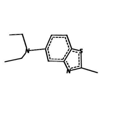 CCN(CC)c1ccc2sc(C)nc2c1